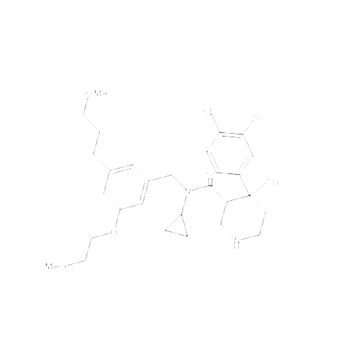 COCCCc1cc(CN(C(=O)C2CNCCC2(O)c2ccc(Cl)c(Cl)c2)C2CC2)cc(OCCOC)c1